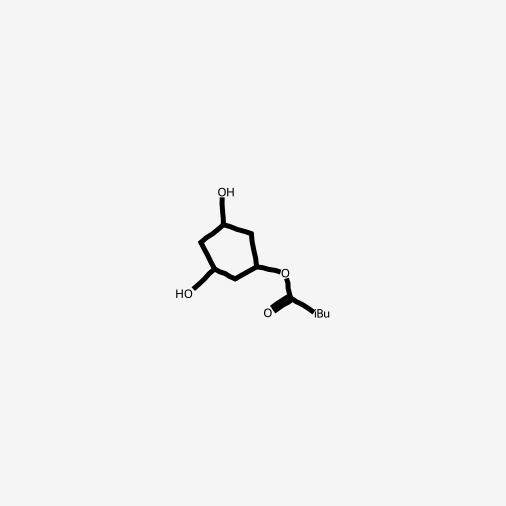 CCC(C)C(=O)OC1CC(O)CC(O)C1